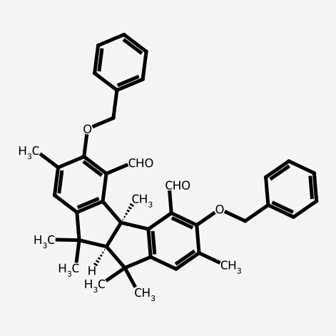 Cc1cc2c(c(C=O)c1OCc1ccccc1)[C@]1(C)c3c(cc(C)c(OCc4ccccc4)c3C=O)C(C)(C)[C@@H]1C2(C)C